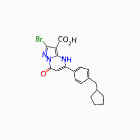 O=C(O)c1c(Br)nn2c(=O)cc(-c3ccc(CC4CCCC4)cc3)[nH]c12